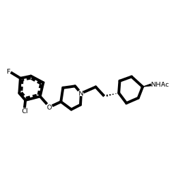 CC(=O)N[C@H]1CC[C@H](CCN2CCC(Oc3ccc(F)cc3Cl)CC2)CC1